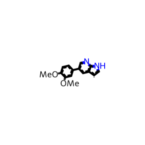 COc1ccc(-c2cnc3[nH]c[c]c3c2)cc1OC